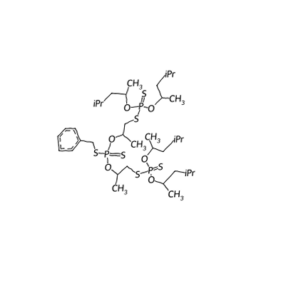 CC(C)CC(C)OP(=S)(OC(C)CC(C)C)SCC(C)OP(=S)(OC(C)CSP(=S)(OC(C)CC(C)C)OC(C)CC(C)C)SCc1ccccc1